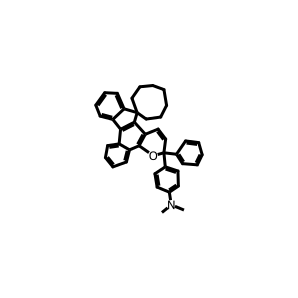 CN(C)c1ccc(C2(c3ccccc3)C=Cc3c4c(c5ccccc5c3O2)-c2ccccc2C42CCCCCCC2)cc1